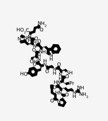 C#CCCC(=O)N1CCC[C@H]1C(=O)N[C@@H](CCCNC(=N)N)C(=O)N[C@@H](CC(C)C)C(=O)N[C@H](CS)C(=O)NCC(=O)N[C@@H](Cc1ccc(O)cc1)C(=O)N[C@@H](CO)C(=O)N[C@@H](Cc1c[nH]c2ccccc12)C(=O)N[C@@H](Cc1cnc[nH]1)C(=O)N[C@@H](CCC(N)=O)C(=O)O